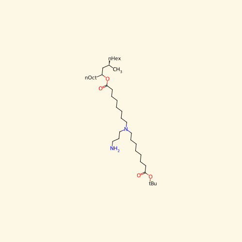 CCCCCCCCC(C[C@H](C)CCCCCC)OC(=O)CCCCCCCN(CCCN)CCCCCCCC(=O)OC(C)(C)C